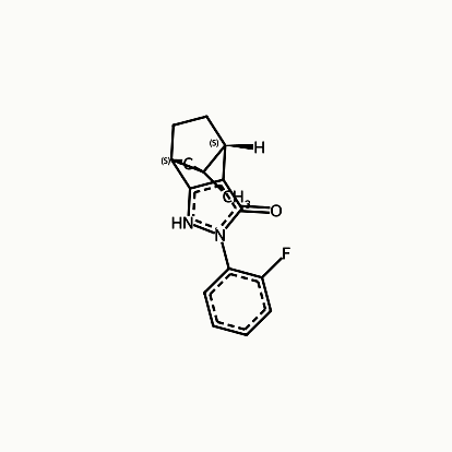 CC12C[C@@]13CC[C@@H]2c1c3[nH]n(-c2ccccc2F)c1=O